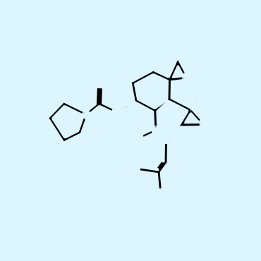 COC1[C@H](OC(=O)N2CCCC2)CCC2(CO2)[C@H]1[C@@]1(C)O[C@@H]1CC=C(C)C